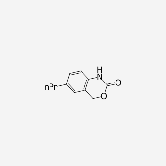 CCCc1ccc2c(c1)COC(=O)N2